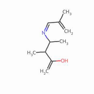 C=C(C)/C=N\C(C)C(C)C(=C)O